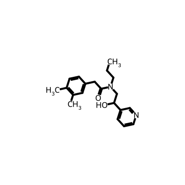 CCCN(CC(O)c1cccnc1)C(=O)Cc1ccc(C)c(C)c1